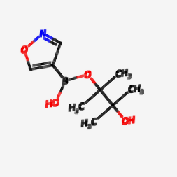 CC(C)(O)C(C)(C)OB(O)c1cnoc1